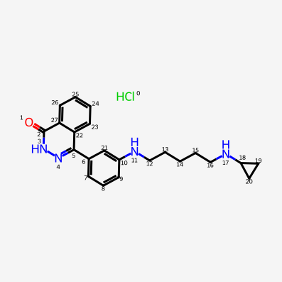 Cl.O=c1[nH]nc(-c2cccc(NCCCCCNC3CC3)c2)c2ccccc12